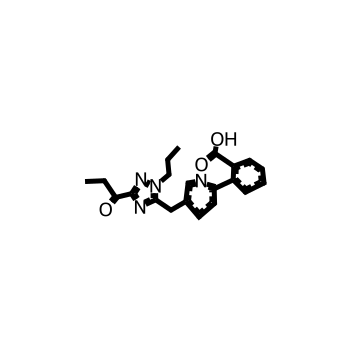 CCCn1nc(C(=O)CC)nc1Cc1ccc(-c2ccccc2C(=O)O)nc1